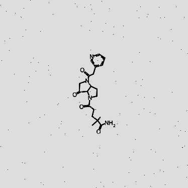 CC(C)(C[CH]C(=O)N1CCC2C1C(=O)CN2C(=O)Cc1cccnc1)C(N)=O